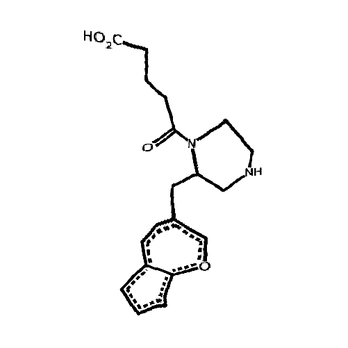 O=C(O)CCCC(=O)N1CCNCC1Cc1coc2cccc-2c1